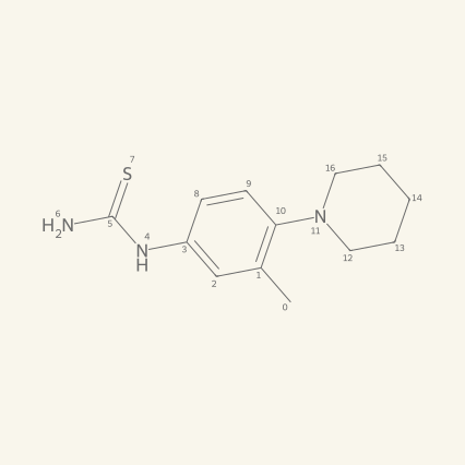 Cc1cc(NC(N)=S)ccc1N1CCCCC1